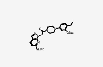 COc1cc(N2CCN(C(=O)Cn3ncc4ccc(NC(C)=O)nc43)CC2)ccc1CI